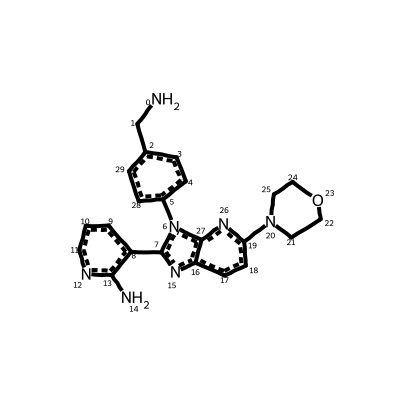 NCc1ccc(-n2c(-c3cccnc3N)nc3ccc(N4CCOCC4)nc32)cc1